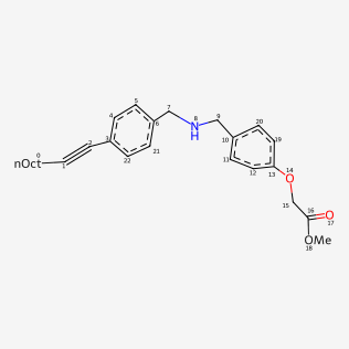 CCCCCCCCC#Cc1ccc(CNCc2ccc(OCC(=O)OC)cc2)cc1